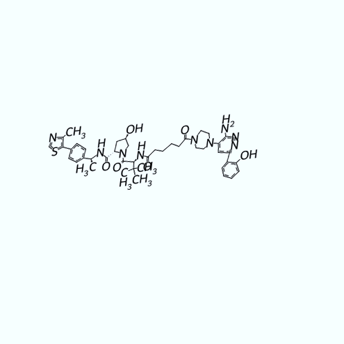 Cc1ncsc1-c1ccc([C@H](C)NC(=O)[C@@H]2C[C@@H](O)CN2C(=O)[C@@H](NC(=O)CCCCC(=O)N2CCN(c3cc(-c4ccccc4O)nnc3N)CC2)C(C)(C)C)cc1